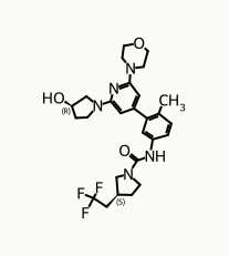 Cc1ccc(NC(=O)N2CC[C@@H](CC(F)(F)F)C2)cc1-c1cc(N2CCOCC2)nc(N2CC[C@@H](O)C2)c1